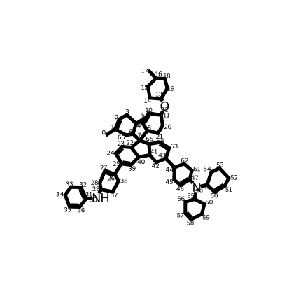 CC1=CCC(C)C(C2(C3C=CC(OC4CCC(C)CC4)CC3)C3C=CC(C4=CCC(NC5=CCCC=C5)CC4)=CC3C3CC(C4CC=C(N(C5C=CCCC5)C5CC=CCC5)CC4)C=CC32)C1